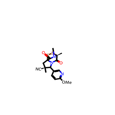 COc1ccc(C2N3C(=O)[C@@]4(C)SSC3(C[C@]2(C)C#N)C(=O)N4C)cn1